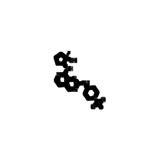 C[C@@]1(O)CCCC1Nc1nccc2cnc(NC3CCN(S(C)(=O)=O)CC3)nc12